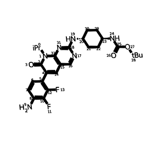 CC(C)n1c(=O)c(-c2ccc(N)c(F)c2F)cc2cnc(N[C@H]3CC[C@H](NC(=O)OC(C)(C)C)CC3)nc21